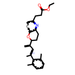 C=C(/C=C(\C)c1c(C)cccc1C)C1CCc2nc(CCC(=O)OCC)ccc2O1